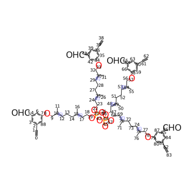 C#Cc1cc(C=O)cc(OC/C(C)=C/CC/C(C)=C/COP(=O)(OC/C=C(\C)CC/C=C(\C)COc2cc(C#C)cc(C=O)c2)OP(=O)(OC/C=C(\C)CC/C=C(\C)COc2cc(C#C)cc(C=O)c2)OC/C=C(\C)CC/C=C(\C)COc2cc(C#C)cc(C=O)c2)c1